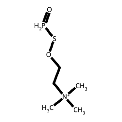 C[N+](C)(C)CCOS[PH2]=O